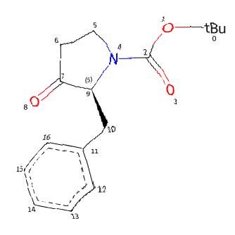 CC(C)(C)OC(=O)N1CCC(=O)[C@@H]1Cc1ccccc1